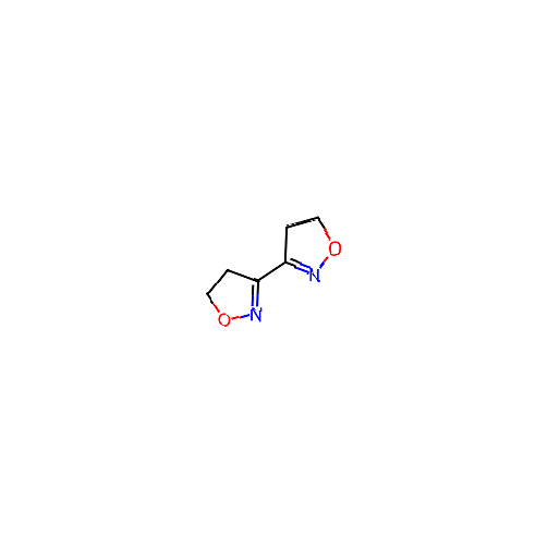 C1CC(C2=NOCC2)=NO1